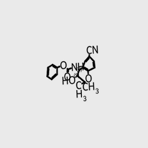 CC1(C)Oc2ccc(C#N)cc2[C@@H](NC(=O)Oc2ccccc2)[C@@H]1O